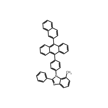 Cc1cccc2nc(-c3ccccc3)n(-c3ccc(-c4c5ccccc5c(-c5ccc6ccccc6c5)c5ccccc45)cc3)c12